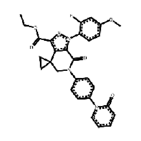 CCOC(=O)c1nn(-c2ccc(OC)cc2F)c2c1C1(CC1)CN(c1ccc(-n3ccccc3=O)cc1)C2=O